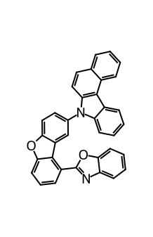 c1ccc2c(c1)ccc1c2c2ccccc2n1-c1ccc2oc3cccc(-c4nc5ccccc5o4)c3c2c1